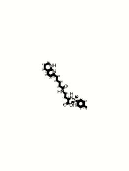 Cc1ccc(S(=O)(=O)NC(CCNC(=O)CCCCc2ccc3c(n2)NCCC3)C(=O)O)cc1